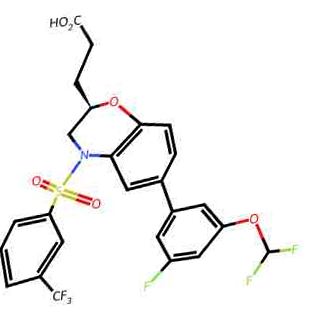 O=C(O)CC[C@@H]1CN(S(=O)(=O)c2cccc(C(F)(F)F)c2)c2cc(-c3cc(F)cc(OC(F)F)c3)ccc2O1